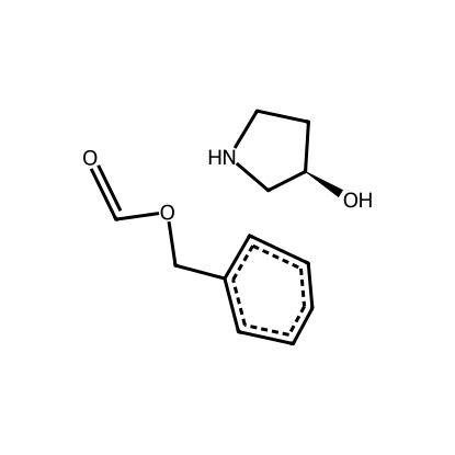 O=COCc1ccccc1.O[C@@H]1CCNC1